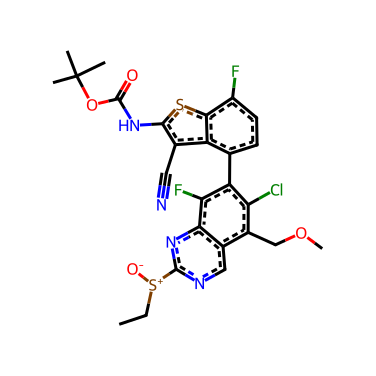 CC[S+]([O-])c1ncc2c(COC)c(Cl)c(-c3ccc(F)c4sc(NC(=O)OC(C)(C)C)c(C#N)c34)c(F)c2n1